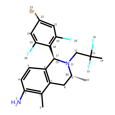 Cc1c(N)ccc2c1C[C@@H](C)N(CC(C)(F)F)[C@@H]2c1c(F)cc(Br)cc1F